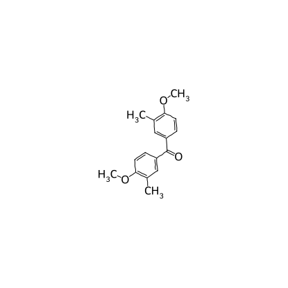 COc1ccc(C(=O)c2ccc(OC)c(C)c2)cc1C